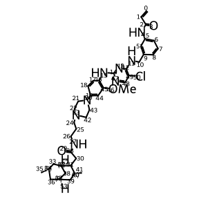 C=CC(=O)Nc1cccc(CNc2nc(Nc3ccc(N4CCN(CCCNC(=O)CC5[C@@H]6C[C@H](C)C[C@@H](C6)C[C@@H]5C)CC4)cc3OC)ncc2Cl)c1